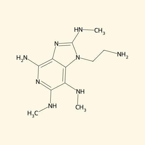 CNc1nc(N)c2nc(NC)n(CCN)c2c1NC